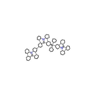 c1ccc([Si](c2ccccc2)(c2ccc3c(c2)-c2ccccc2N2B3c3ccc(-c4ccc5c(c4)-c4ccccc4B4c6ccccc6-c6ccccc6N45)cc3-c3ccccc32)c2ccc3c(c2)-c2ccccc2B2c4ccccc4-c4ccccc4N23)cc1